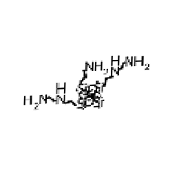 C[Si](C)(C)O[Si](O[Si](C)(C)CCCN)(O[Si](C)(C)CCCNCCN)O[Si](C)(C)CCCNCCN